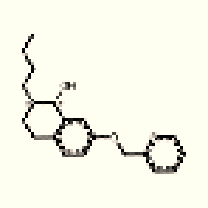 CCCC[C@@H]1CCc2ccc(OCc3ccccn3)cc2[C@H]1O